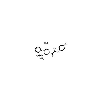 Cl.NC(Cc1ccc(Cl)cc1)C(=O)N1CCN(c2ccccc2S(N)(=O)=O)CC1